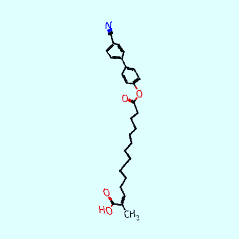 CC(=CCCCCCCCCCCC(=O)Oc1ccc(-c2ccc(C#N)cc2)cc1)C(=O)O